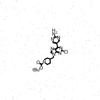 CC(C)(C)OC(=O)N1CCC(Cn2cnc3c(-c4cnc(N)nc4)nc(Cl)nc32)CC1